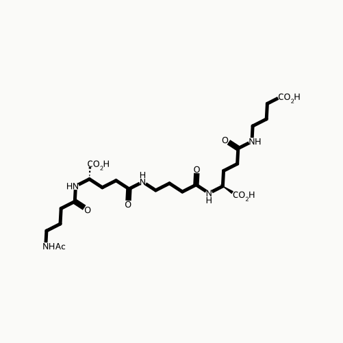 CC(=O)NCCCC(=O)N[C@@H](CCC(=O)NCCCC(=O)N[C@@H](CCC(=O)NCCCC(=O)O)C(=O)O)C(=O)O